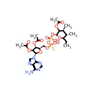 CCC1O[C@@H](OP(=O)(O)OP(O)(=S)OC[C@H]2O[C@@H](n3cnc4c(N)ncnc43)C(OC(C)=O)[C@H]2OC(C)=O)C(OC(C)=O)[C@@H](C)[C@@H]1C